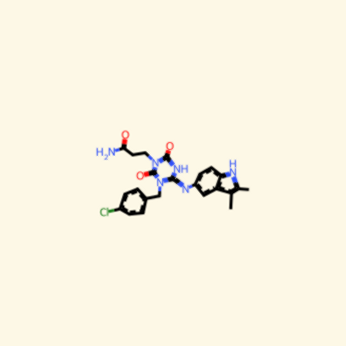 Cc1[nH]c2ccc(/N=c3\[nH]c(=O)n(CCC(N)=O)c(=O)n3Cc3ccc(Cl)cc3)cc2c1C